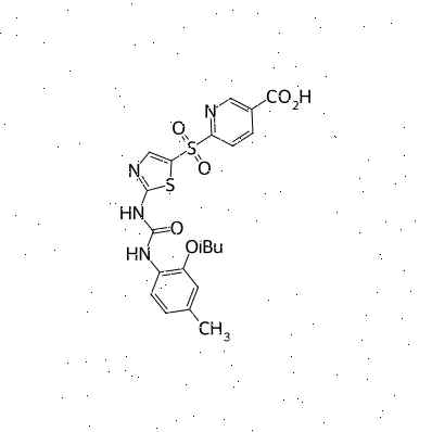 Cc1ccc(NC(=O)Nc2ncc(S(=O)(=O)c3ccc(C(=O)O)cn3)s2)c(OCC(C)C)c1